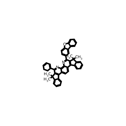 CC1(C)c2ccccc2-c2c1c(C1=CC=CCC1)nc1c2ccc2c3c(c(-c4ccc5oc6ccccc6c5c4)nc21)C(C)(C)c1ccccc1-3